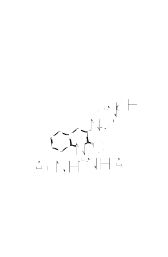 CC(=O)NC(NC(C)=O)n1c(=O)c(N2CCN(C)CC2)cc2ccccc21